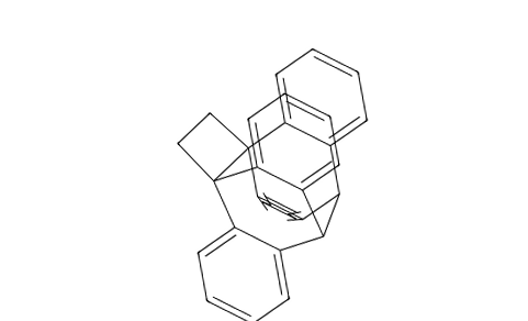 c1ccc2c(c1)C1c3ccccc3C23CCC32c3ccccc3C1c1ccccc12